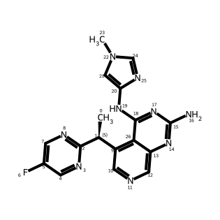 C[C@H](c1ncc(F)cn1)c1cncc2nc(N)nc(Nc3cn(C)cn3)c12